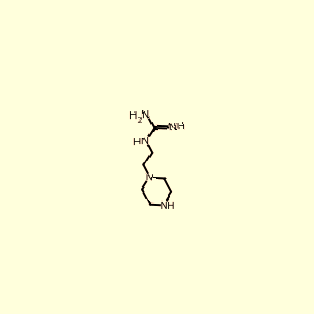 N=C(N)NCCN1CCNCC1